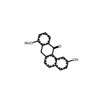 COc1cccc2c1Cc1ccc3ccc(O)cc3c1C2=O